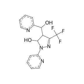 OC(c1ccccn1)C1C(C(F)(F)F)=NN(c2ccccn2)C1O